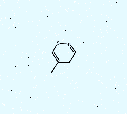 CC1=CSN=CC1